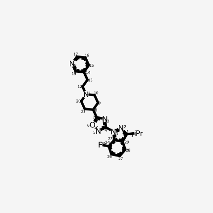 CC(C)c1nn(-c2noc(C3CCN(CCc4cccnc4)CC3)n2)c2c(F)cccc12